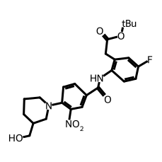 CC(C)(C)OC(=O)Cc1cc(F)ccc1NC(=O)c1ccc(N2CCCC(CO)C2)c([N+](=O)[O-])c1